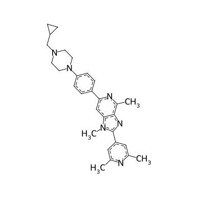 Cc1cc(-c2nc3c(C)nc(-c4ccc(N5CCN(CC6CC6)CC5)cc4)cc3n2C)cc(C)n1